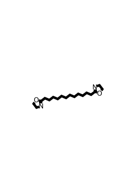 C(CCCCCCC1=NCCO1)CCCCCC1=NCCO1